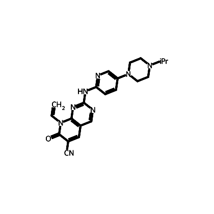 C=Cn1c(=O)c(C#N)cc2cnc(Nc3ccc(N4CCN(C(C)C)CC4)cn3)nc21